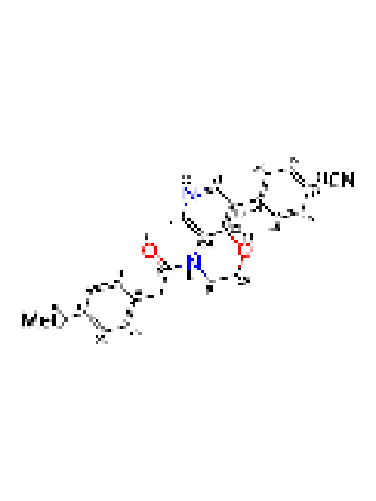 COc1ccc(CC(=O)N2CCOc3c(-c4ccc(C#N)cc4)cncc32)cc1